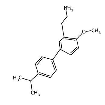 COc1ccc(-c2ccc(C(C)C)cc2)cc1CCN